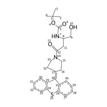 CC(C)(C)OC(=O)NC(CO)CC(=O)N1CCC(=C2c3ccccc3Sc3ccccc32)CC1